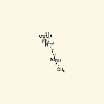 CCCNC(=O)CCCC[C@H]1SC[C@@H]2NC(=O)N[C@@H]21